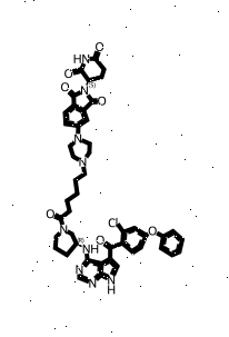 O=C1CC[C@H](N2C(=O)c3ccc(N4CCN(CCCCCC(=O)N5CCC[C@@H](Nc6ncnc7[nH]cc(C(=O)c8ccc(Oc9ccccc9)cc8Cl)c67)C5)CC4)cc3C2=O)C(=O)N1